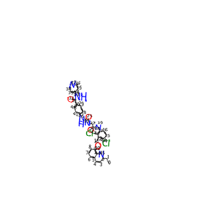 CCc1ccc2cccc(OCc3c(Cl)ccc(N(C)C(=O)CNC(=O)Nc4ccc(C(=O)Nc5ccncc5)cc4)c3Cl)c2n1